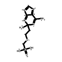 NC1=NC(N)(CCOCP(=O)(O)O)N=C2N=CN=C12